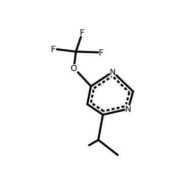 CC(C)c1cc(OC(F)(F)F)ncn1